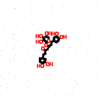 O=C(CCc1ccc(O)c(O)c1)C[C@H](CCc1ccc(O)c(O)c1)O[C@@H]1OC[C@@H](O)[C@H](O)[C@H]1O